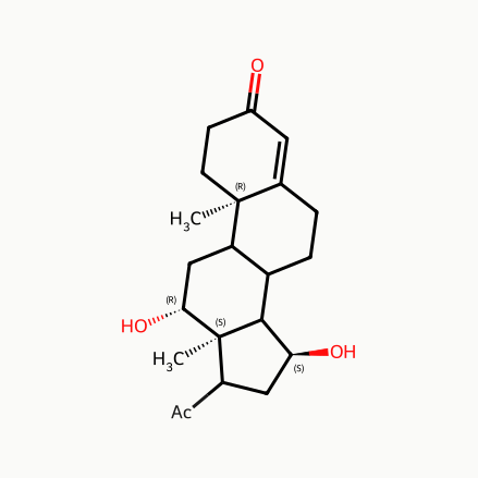 CC(=O)C1C[C@H](O)C2C3CCC4=CC(=O)CC[C@]4(C)C3C[C@@H](O)[C@]12C